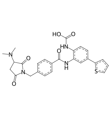 CN(C)C1CC(=O)N(Cc2ccc(C(=O)Nc3cc(-c4cccs4)ccc3NC(=O)O)cc2)C1=O